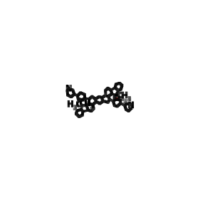 CC1(C)c2ccccc2-c2ccc3c(c(-c4ccc(-c5cccnc5)cc4)cc4cc5c(cc(-c6ccc(-c7cccnc7)cc6)c6c7c(ccc65)-c5ccccc5C7(C)C)cc43)c21